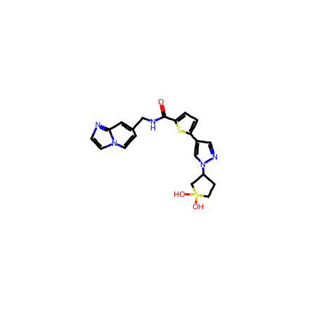 O=C(NCc1ccn2ccnc2c1)c1ccc(-c2cnn(C3CCS(O)(O)C3)c2)s1